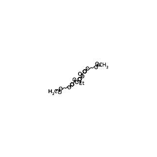 C=CC(=O)OCCCCOc1ccc(C(=O)Oc2ccc(OC(=O)c3ccc(OCCCCOC(=O)C=C)cc3)c(CC)c2)cc1